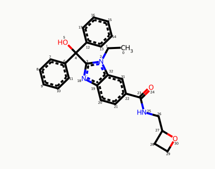 CCn1c(C(O)(c2ccccc2)c2ccccc2)nc2ccc(C(=O)NCC3CCO3)cc21